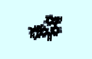 CNC1(CCN(C)C)C=CC(Nc2nccc(-c3c[nH]c4ccccc34)n2)=CC1N